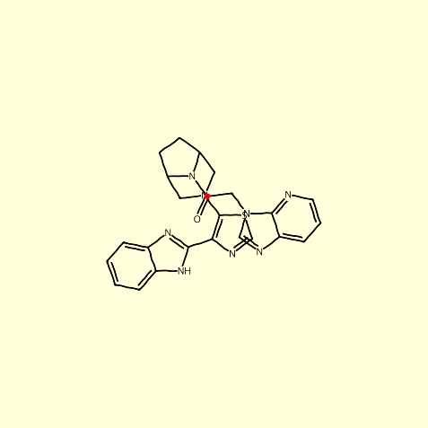 O=C(Cn1cnc2cccnc21)N1C2CCC1CN(c1scnc1-c1nc3ccccc3[nH]1)C2